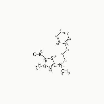 CN(CCCc1ccccc1)c1nc(Cl)c(C=O)s1